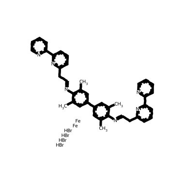 Br.Br.Br.Br.Cc1cc(-c2cc(C)c(N=CCc3cccc(-c4ccccn4)n3)c(C)c2)cc(C)c1N=CCc1cccc(-c2ccccn2)n1.[Fe].[Fe]